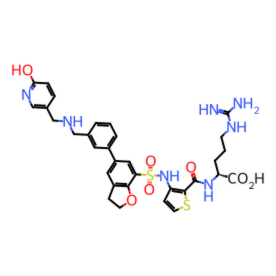 N=C(N)NCCC[C@H](NC(=O)c1sccc1NS(=O)(=O)c1cc(-c2cccc(CNCc3ccc(O)nc3)c2)cc2c1OCC2)C(=O)O